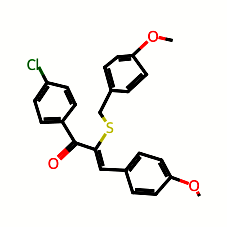 COc1ccc(C=C(SCc2ccc(OC)cc2)C(=O)c2ccc(Cl)cc2)cc1